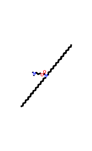 CCCCCC=CCC=CCCCCCCCCCCN(CCCCCCCCCCC=CCC=CCCCCC)C(=O)OCCCN(C)C